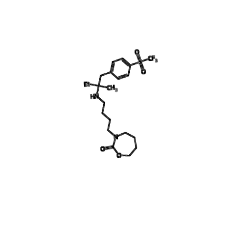 CCC(C)(Cc1ccc(S(=O)(=O)C(F)(F)F)cc1)NCCCCN1CCCCOC1=O